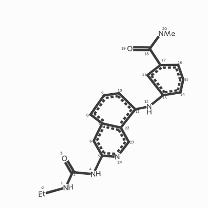 CCNC(=O)Nc1cc2cccc(Nc3cccc(C(=O)NC)c3)c2cn1